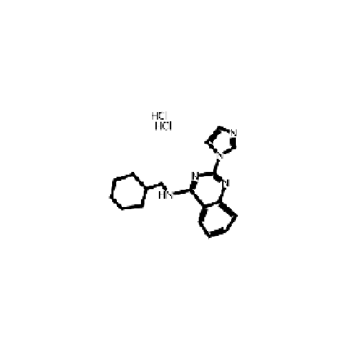 Cl.Cl.c1ccc2c(NCC3CCCCC3)nc(-n3ccnc3)nc2c1